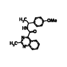 COc1ccc(C(C)NC(=O)c2nc(C)nc3ccccc23)cc1